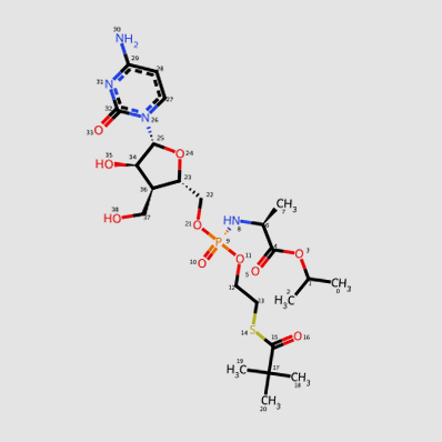 CC(C)OC(=O)[C@H](C)N[P@@](=O)(OCCSC(=O)C(C)(C)C)OC[C@H]1O[C@@H](n2ccc(N)nc2=O)[C@H](O)[C@@H]1CO